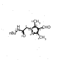 CCCCNC(=O)Cn1nc(C)c(C=O)c1C